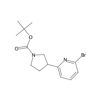 CC(C)(C)OC(=O)N1CCC(c2cccc(Br)n2)C1